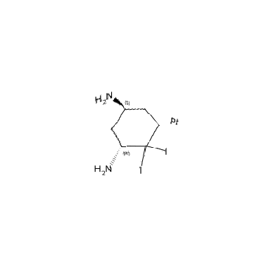 N[C@H]1CCC(I)(I)[C@H](N)C1.[Pt]